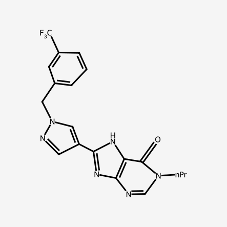 CCCn1cnc2nc(-c3cnn(Cc4cccc(C(F)(F)F)c4)c3)[nH]c2c1=O